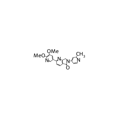 COc1cc(-c2ccc3c(n2)CN(c2ccnc(C)c2)C3=O)cnc1OC